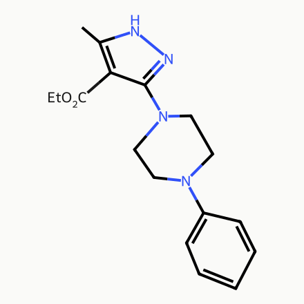 CCOC(=O)c1c(N2CCN(c3ccccc3)CC2)n[nH]c1C